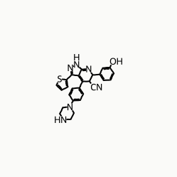 N#CC1C(c2ccc(N3CCNCC3)cc2)=c2c(-c3cccs3)n[nH]c2=NC1c1cccc(O)c1